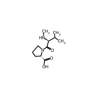 CN[C@H](C(=O)N1CCC[C@H]1C(=O)O)C(C)C